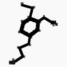 BCc1cc(CCCO)ccc1CC